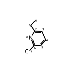 C[CH]c1cccc(Cl)n1